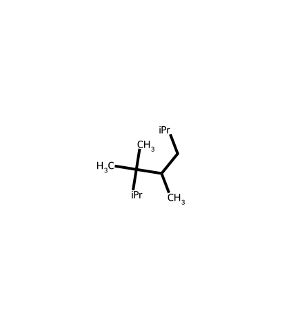 CC(C)CC(C)C(C)(C)C(C)C